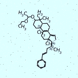 CCOC(C)OC1CC[C@]2(C)C3=C(CCC2C1(C)C)C1=CC[C@H]([C@H](C)CC=Cc2ccccc2)[C@@]1(C)CC3